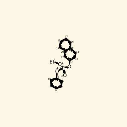 CCOP(=O)(Oc1ccccc1)Oc1ccc2ccccc2c1